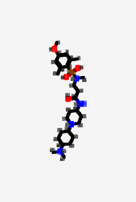 COc1cc(C)c(S(=O)(=O)N(C)CCC(=O)NC2CCN(C3CCC(N(C)C)CC3)CC2)c(C)c1